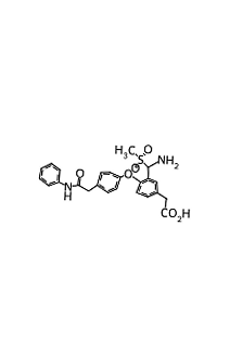 CS(=O)(=O)C(N)c1cc(CC(=O)O)ccc1Oc1ccc(CC(=O)Nc2ccccc2)cc1